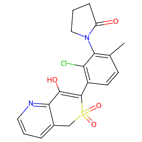 Cc1ccc(C2=C(O)c3ncccc3CS2(=O)=O)c(Cl)c1N1CCCC1=O